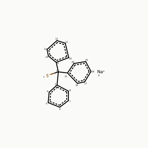 [Na+].[S-]C(c1ccccc1)(c1ccccc1)c1ccccc1